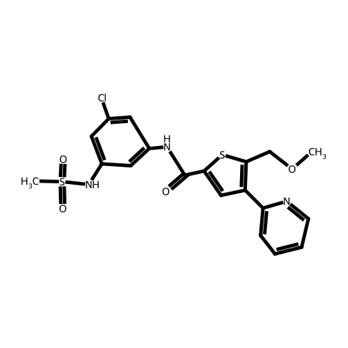 COCc1sc(C(=O)Nc2cc(Cl)cc(NS(C)(=O)=O)c2)cc1-c1ccccn1